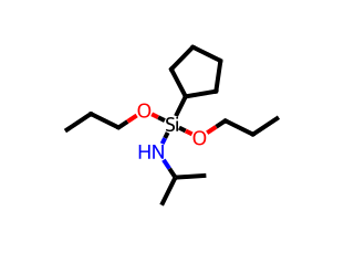 CCCO[Si](NC(C)C)(OCCC)C1CCCC1